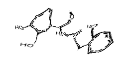 O=C(N/N=C/c1ccccc1O)c1ccc(O)c(O)c1